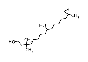 CC(C)(CCO)CCCCCC(O)CCCCCC1(C)CC1